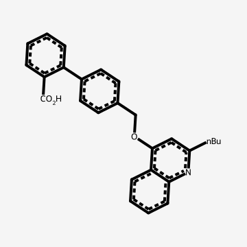 CCCCc1cc(OCc2ccc(-c3ccccc3C(=O)O)cc2)c2ccccc2n1